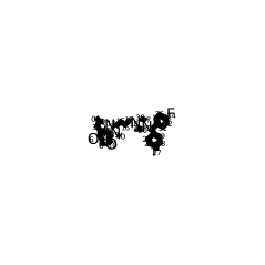 CC(C)Cn1c(=O)n(C)c(=O)c2c1nc(CCCN1CCN(C(c3ccc(F)cc3)c3ccc(F)cc3)CC1)n2C